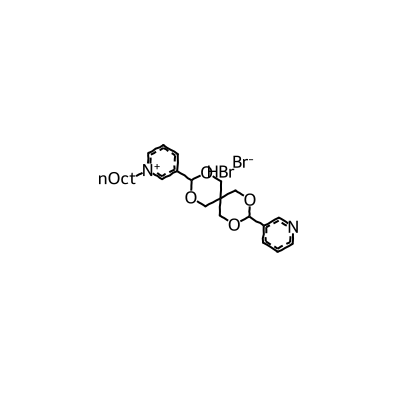 Br.CCCCCCCC[n+]1cccc(C2OCC3(COC(c4cccnc4)OC3)CO2)c1.[Br-]